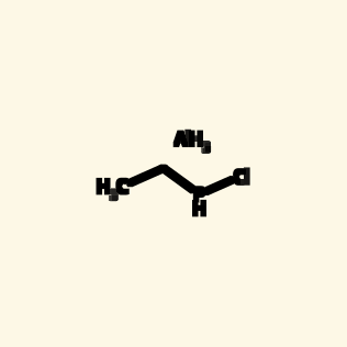 CCPCl.[AlH3]